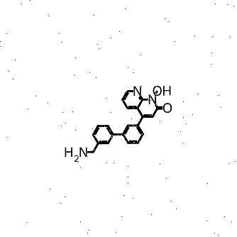 NCc1cccc(-c2cccc(-c3cc(=O)n(O)c4ncccc34)c2)c1